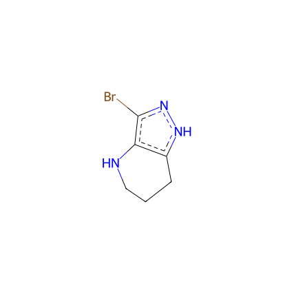 Brc1n[nH]c2c1NCCC2